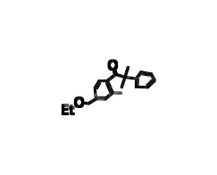 CCOCc1ccc(C(=O)C(C)(C)c2ccccc2)c(C)c1